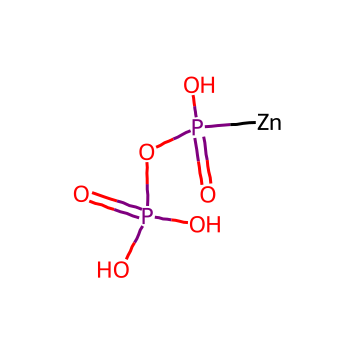 O=P(O)(O)O[P](=O)(O)[Zn]